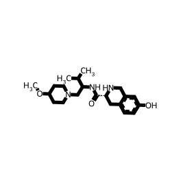 COC1CCN(CC(NC(=O)[C@H]2Cc3ccc(O)cc3CN2)C(C)C)CC1